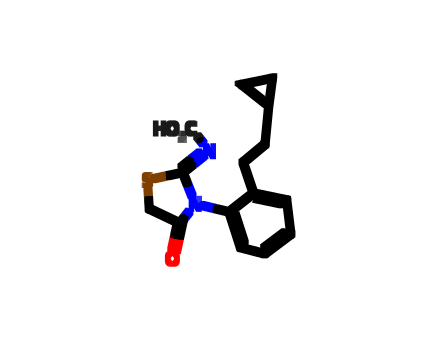 O=C(O)N=C1SCC(=O)N1c1ccccc1CCC1CC1